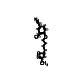 Cc1cc(CCCCOc2ccc(C#N)cc2Cl)on1